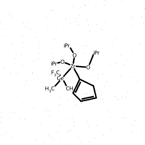 CC(C)[O][Zr]([O]C(C)C)([O]C(C)C)([C]1=CC=CC1)[Ge]([CH3])([CH3])[C](F)(F)F